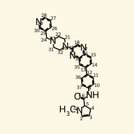 CN1C=CCC1C(=O)Nc1ccc(-c2ccc3ncc(N4CCN(Cc5cccnc5)CC4)nc3c2)cc1